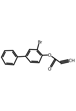 C#CC(=O)Oc1ccc(-c2ccccc2)cc1Br